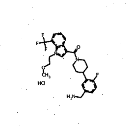 COCCn1cc(C(=O)N2CCC(c3cc(CN)ccc3F)CC2)c2cccc(C(F)(F)F)c21.Cl